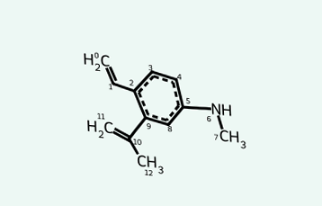 C=Cc1ccc(NC)cc1C(=C)C